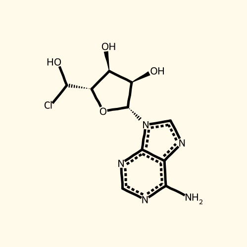 Nc1ncnc2c1ncn2[C@@H]1O[C@H](C(O)Cl)[C@@H](O)[C@H]1O